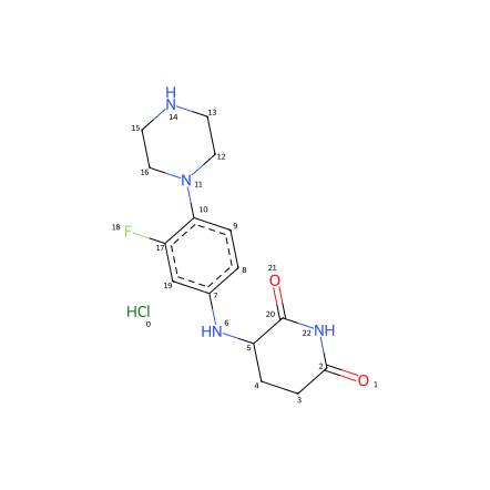 Cl.O=C1CCC(Nc2ccc(N3CCNCC3)c(F)c2)C(=O)N1